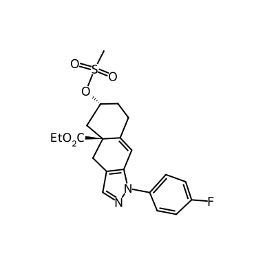 CCOC(=O)[C@]12Cc3cnn(-c4ccc(F)cc4)c3C=C1CC[C@@H](OS(C)(=O)=O)C2